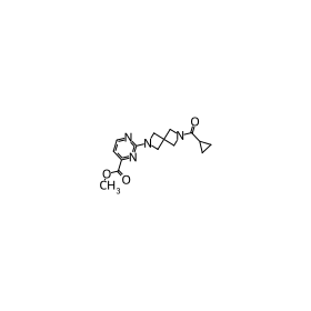 COC(=O)c1ccnc(N2CC3(CN(C(=O)C4CC4)C3)C2)n1